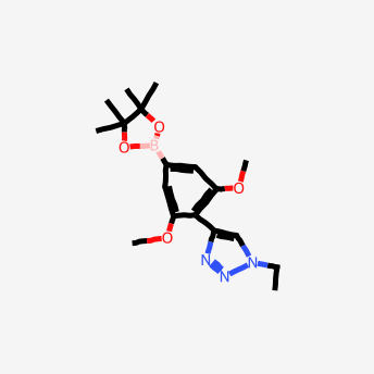 CCn1cc(-c2c(OC)cc(B3OC(C)(C)C(C)(C)O3)cc2OC)nn1